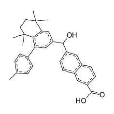 Cc1ccc(-c2cc(C(O)c3ccc4cc(C(=O)O)ccc4c3)cc3c2C(C)(C)CCC3(C)C)cc1